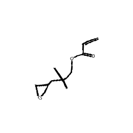 C=CC(=O)OCC(C)(C)C1CO1